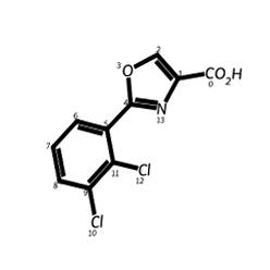 O=C(O)c1coc(-c2cccc(Cl)c2Cl)n1